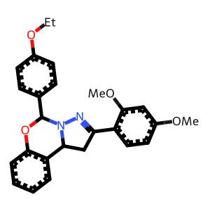 CCOc1ccc(C2Oc3ccccc3C3CC(c4ccc(OC)cc4OC)=NN32)cc1